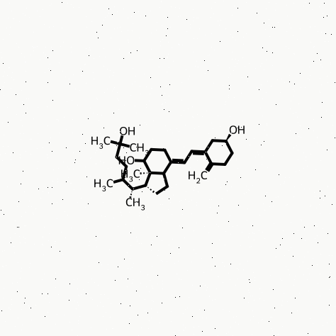 C=C1CC[C@H](O)C/C1=C/C=C1CCC(O)[C@@]2(C)C1CC[C@@H]2[C@H](C)C(C)CCC(C)(C)O